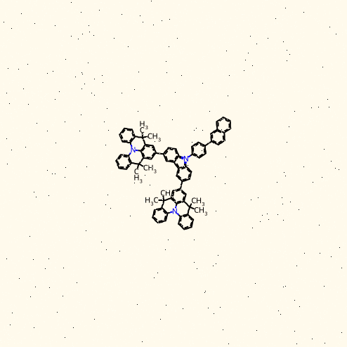 CC1(C)c2ccccc2N2c3ccccc3C(C)(C)c3cc(-c4ccc5c(c4)c4cc(-c6cc7c8c(c6)C(C)(C)c6ccccc6N8c6ccccc6C7(C)C)ccc4n5-c4ccc(-c5ccc6ccccc6c5)cc4)cc1c32